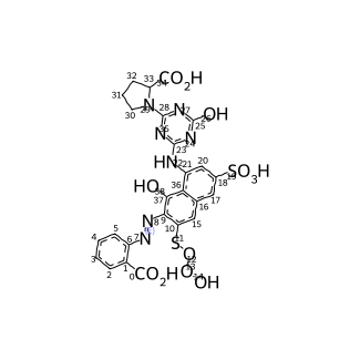 O=C(O)c1ccccc1/N=N/c1c(SOOO)cc2cc(S(=O)(=O)O)cc(Nc3nc(O)nc(N4CCCC4C(=O)O)n3)c2c1O